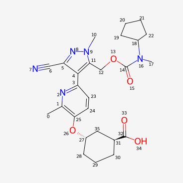 Cc1nc(-c2c(C#N)nn(C)c2COC(=O)N(C)C2CCCC2)ccc1O[C@H]1CCC[C@H](C(=O)O)C1